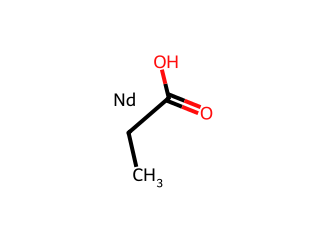 CCC(=O)O.[Nd]